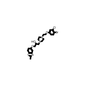 Cc1nc2cc(OCC(O)CN3CCN(CCOc4ccc(Br)c(Cl)c4)CC3)ccc2s1